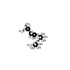 COc1ccc([C@@H]2CC(=O)c3c(O)cc(O[C@@H]4O[C@H](CO[C@@H]5O[C@@H](C)[C@H](O)[C@@H](O)[C@H]5O)[C@@H](O)[C@H](O)[C@H]4O)cc3O2)cc1OC